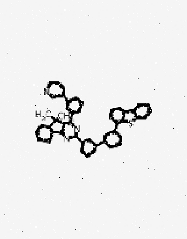 CC1(C)c2ccccc2-c2nc(-c3cccc(-c4cccc(-c5cccc6c5sc5ccccc56)c4)c3)nc(-c3cccc(-c4cccnc4)c3)c21